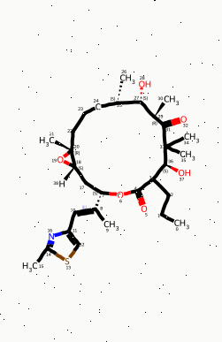 CCCC1C(=O)O[C@H](/C(C)=C/c2csc(C)n2)C[C@@H]2O[C@]2(C)CCC[C@H](C)[C@H](O)[C@@H](C)C(=O)C(C)(C)[C@H]1O